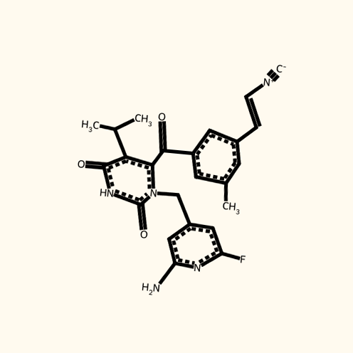 [C-]#[N+]/C=C/c1cc(C)cc(C(=O)c2c(C(C)C)c(=O)[nH]c(=O)n2Cc2cc(N)nc(F)c2)c1